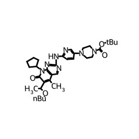 CCCCOC(C)c1c(C)c2cnc(Nc3ccc(N4CCN(C(=O)OC(C)(C)C)CC4)cn3)nc2n(C2CCCC2)c1=O